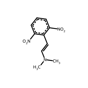 CN(C)C=Cc1c([N+](=O)[O-])cccc1[N+](=O)[O-]